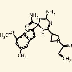 C=CC(=O)N1CC(C2=NC(N)=CC(C(N)=O)(c3cc4cc(C)cc(OC)c4s3)N2)C1